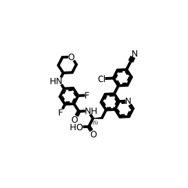 N#Cc1ccc(-c2ccc(C[C@H](NC(=O)c3c(F)cc(NC4CCOCC4)cc3F)C(=O)O)c3cccnc23)c(Cl)c1